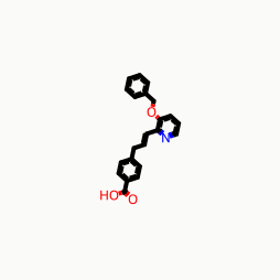 O=C(O)c1ccc(CC=Cc2ncccc2OCc2ccccc2)cc1